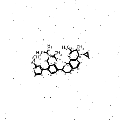 COc1cc(-c2ccc(C3CCc4ccc([C@H](C5CC5)[C@H](C)C(C)=O)cc4O3)cc2CN(C(C)C)C(C)C)ccn1